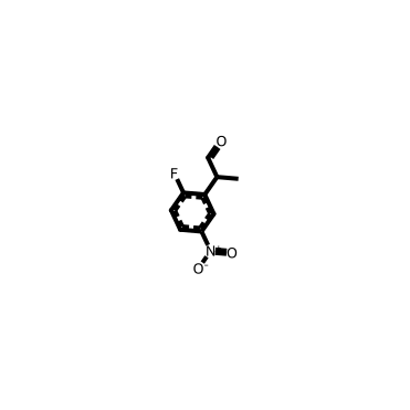 CC(C=O)c1cc([N+](=O)[O-])ccc1F